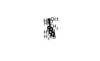 CCCCCCCCNC(=O)NCC1CC[C@H]2[C@@H]3CCC4N(C)C(=O)C=C[C@]4(C)[C@@H]3CC[C@]12C